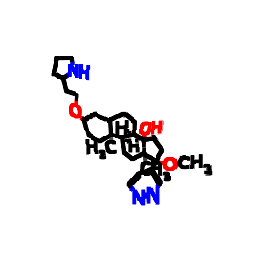 COC1(c2ccnnc2)CC[C@@]2(O)[C@@H]3CCC4CC(OCCC5CCCN5)CC[C@]4(C)[C@@H]3CC[C@]12C